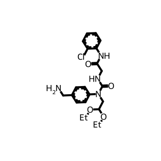 CCOC(CN(C(=O)NCC(=O)Nc1ccccc1Cl)c1ccc(CN)cc1)OCC